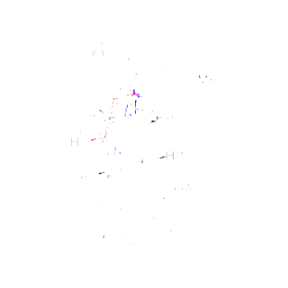 COc1c(C)cc2c(c1O)[C@@H]1C3[C@@H]4SC[C@H](NC(=O)CC(C)C)C(=O)OC[C@@H](c5c6c(c(C)c(OC(C)=O)c54)OCO6)N3[C@@H](O)[C@H](C2)N1C